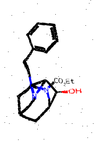 CCOC(=O)N1C2CC3CC1[C@H](O)C2N(Cc1ccccc1)C3